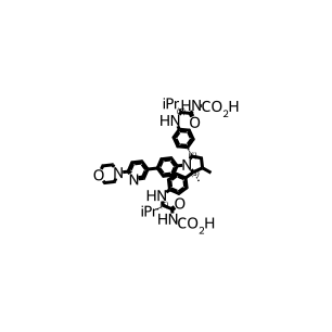 CC(C)[C@H](Nc1ccc([C@@H]2CC(C)[C@@](C)(c3ccc(N[C@H](C(=O)NC(=O)O)C(C)C)cc3)N2c2ccc(-c3ccc(N4CCOCC4)nc3)cc2)cc1)C(=O)NC(=O)O